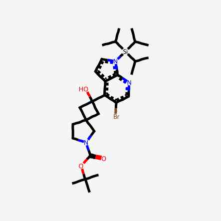 CC(C)[Si](C(C)C)(C(C)C)n1ccc2c(C3(O)CC4(CCN(C(=O)OC(C)(C)C)C4)C3)c(Br)cnc21